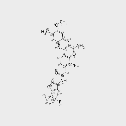 COc1cc2nc(C(N)=O)c(-c3ccc(CC(=O)Nc4cc(C5(C(F)(F)F)CC5)on4)c(F)c3)nc2cc1C